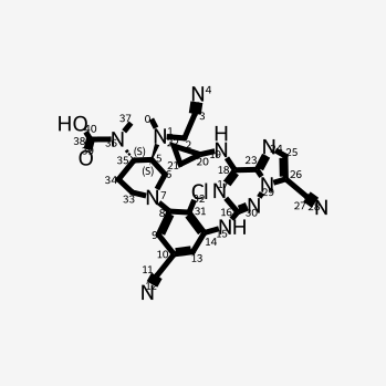 CN(CC#N)[C@H]1CN(c2cc(C#N)cc(Nc3nc(NC4CC4)c4ncc(C#N)n4n3)c2Cl)CC[C@@H]1N(C)C(=O)O